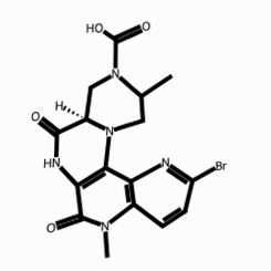 CC1CN2c3c(c(=O)n(C)c4ccc(Br)nc34)NC(=O)[C@H]2CN1C(=O)O